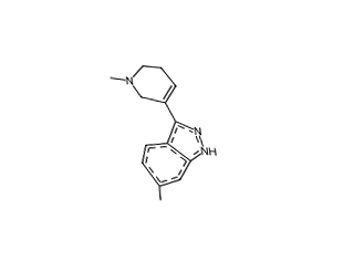 Cc1ccc2c(C3=CCCN(C)C3)n[nH]c2c1